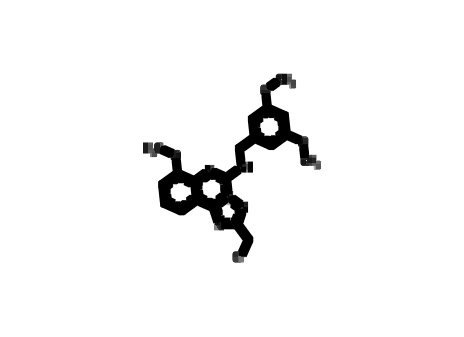 COc1cc(CNc2nc3c(OC)cccc3c3nc(CCl)nn23)cc(OC)c1